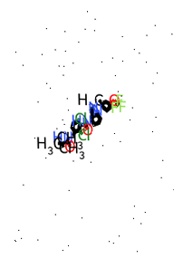 Cc1cc(OC(F)(F)F)ccc1-n1ncc2c(NC(=O)c3c(Cl)ccc(CNC(=O)C(C)(C)C)c3Cl)cccc21